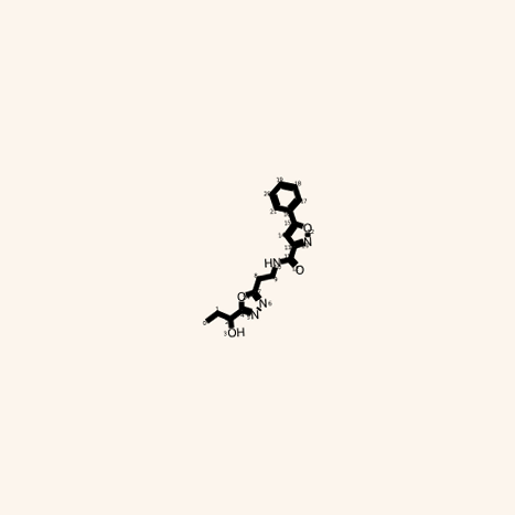 CCC(O)c1nnc(CCNC(=O)c2cc(-c3ccccc3)on2)o1